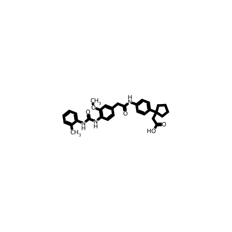 COc1cc(CC(=O)Nc2ccc(C3(CC(=O)O)CCCC3)cc2)ccc1NC(=O)Nc1ccccc1C